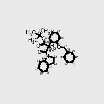 CC(C)(C)OC(=O)C(N)(C(=O)N1CCc2ccccc21)c1ccccc1OCc1ccccc1